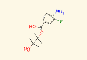 CC(C)(O)C(C)(C)OB(O)c1ccc(N)c(F)c1